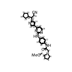 COC[C@H]1CCCN1CC(=O)Nc1ccc(Nc2nccc(-c3cnn(C(CC#N)C4CCCC4)c3)n2)cc1